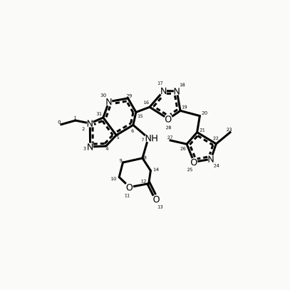 CCn1ncc2c(NC3CCOC(=O)C3)c(-c3nnc(Cc4c(C)noc4C)o3)cnc21